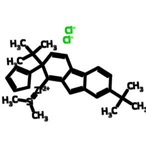 C[Si](C)=[Zr+2][C]1=C2C=c3cc(C(C)(C)C)ccc3=C2C=CC1(C1=CC=CC1)C(C)(C)C.[Cl-].[Cl-]